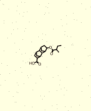 CCC(C)C(=O)OC1CC2CC1C1C3CC(CC3C(=O)O)C21